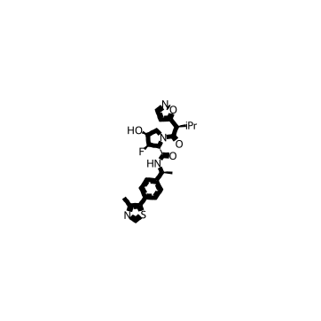 Cc1ncsc1-c1ccc([C@H](C)NC(=O)[C@@H]2[C@@H](F)[C@@H](O)CN2C(=O)[C@@H](c2ccno2)C(C)C)cc1